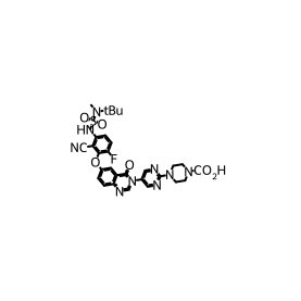 CN(C(C)(C)C)S(=O)(=O)Nc1ccc(F)c(Oc2ccc3ncn(-c4cnc(N5CCN(C(=O)O)CC5)nc4)c(=O)c3c2)c1C#N